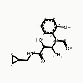 CC(C(O)C(=O)NCC1CC1)N(C=O)c1ccccc1Cl